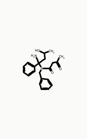 CC(=O)CC(=O)N(Cc1ccccc1)C(N)(CC(C)O)c1ccccc1